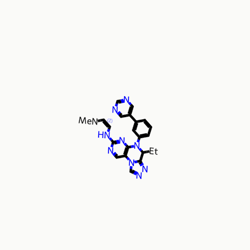 CCC1c2nncn2-c2cnc(N/C=C\NC)nc2N1c1cccc(-c2cncnc2)c1